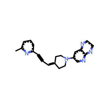 Cc1cccc(C#CC=C2CCN(c3cnc4nccnc4c3)CC2)n1